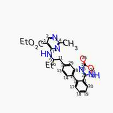 CCOC(=O)c1cnc(C)nc1NC(CC)Cc1ccc(-c2ccccc2-c2nc(=O)o[nH]2)cc1